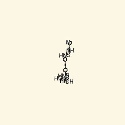 C[C@@H](O)[C@H](NC(=O)c1ccc(C#Cc2ccc(NC(=O)CNCCc3cccnc3)cc2)cc1)C(=O)NO